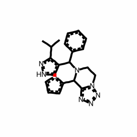 CC(C)c1n[nH]cc1C(c1ccccc1)N1CCn2nnnc2C1c1cccs1